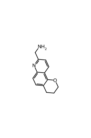 NCc1ccc2c3c(ccc2n1)CCCO3